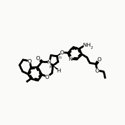 CCOC(=O)CCc1cnc(O[C@H]2C[C@@H]3COc4cc(C)c5c(c4C(=O)N3C2)OCCC5)cc1N